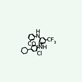 O=C(O)c1cccc(Nc2cc(Nc3ccc(C4CCCCC4)cc3Cl)cc(C(F)(F)F)c2)c1